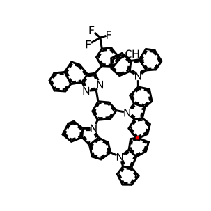 Cc1cc(-c2nc(-c3cc(-n4c5ccccc5c5ccc(-n6c7ccccc7c7ccccc76)cc54)cc(-n4c5ccccc5c5ccc(-n6c7ccccc7c7ccccc76)cc54)c3)nc3c2ccc2ccccc23)cc(C(F)(F)F)c1